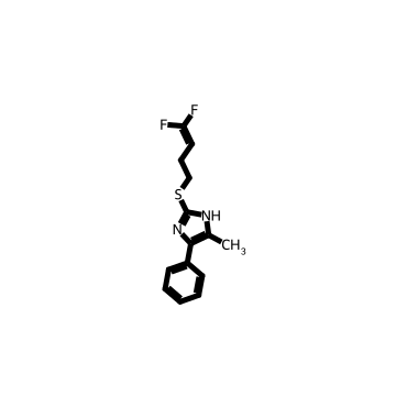 Cc1[nH]c(SCCC=C(F)F)nc1-c1ccccc1